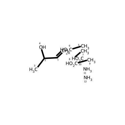 C=CC(C)O.CC(=O)O.CC(=O)O.CC(=O)O.N.N